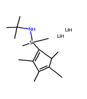 CC1=C(C)C(C)C([Si](C)(C)NC(C)(C)C)=C1C.[LiH].[LiH]